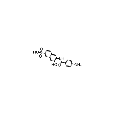 Nc1ccc(C(=O)Nc2cc3ccc(S(=O)(=O)O)cc3cc2O)cc1